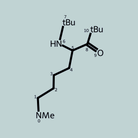 CNCCCCC(NC(C)(C)C)C(=O)C(C)(C)C